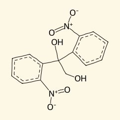 O=[N+]([O-])c1ccccc1C(O)(CO)c1ccccc1[N+](=O)[O-]